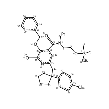 CC(C)N(CCO[Si](C)(C)C(C)(C)C)C(=O)c1nc(CC2(c3ccc(Cl)cc3)CCCC2)nc(O)c1OCc1ccccc1